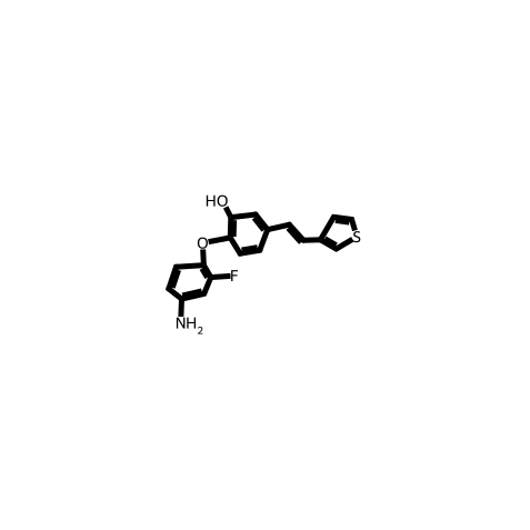 Nc1ccc(Oc2ccc(C=Cc3ccsc3)cc2O)c(F)c1